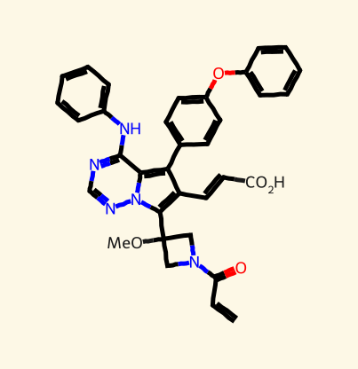 C=CC(=O)N1CC(OC)(c2c(C=CC(=O)O)c(-c3ccc(Oc4ccccc4)cc3)c3c(Nc4ccccc4)ncnn23)C1